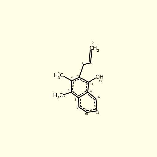 C=CCc1c(C)c(C)c2ccccc2c1O